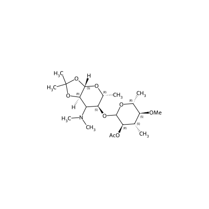 CO[C@H]1[C@H](C)[C@@H](OC(C)=O)C(O[C@H]2C(N(C)C)[C@H]3OC(C)(C)O[C@@H]3O[C@@H]2C)O[C@@H]1C